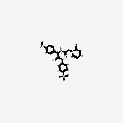 COc1ccc(C(NC(=O)Cn2ccccc2=O)C(=O)Nc2ccc([Si](C)(C)C)cc2)cc1